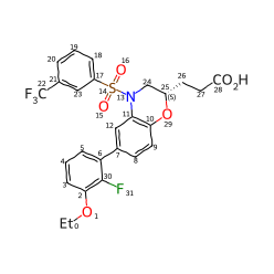 CCOc1cccc(-c2ccc3c(c2)N(S(=O)(=O)c2cccc(C(F)(F)F)c2)C[C@H](CCC(=O)O)O3)c1F